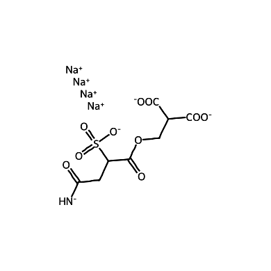 [NH-]C(=O)CC(C(=O)OCC(C(=O)[O-])C(=O)[O-])S(=O)(=O)[O-].[Na+].[Na+].[Na+].[Na+]